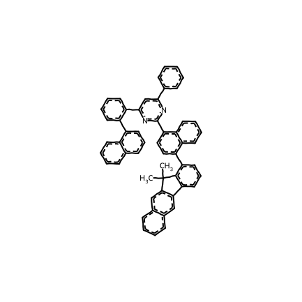 CC1(C)c2cc3ccccc3cc2-c2cccc(-c3ccc(-c4nc(-c5ccccc5)cc(-c5ccccc5-c5cccc6ccccc56)n4)c4ccccc34)c21